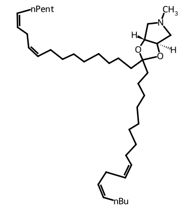 CCCC/C=C\C/C=C\CCCCCCCCC1(CCCCCCCC/C=C\C/C=C\CCCCC)O[C@@H]2CN(C)C[C@H]2O1